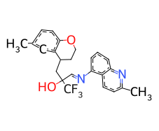 Cc1ccc2c(c1)C(CC(O)(/C=N/c1cccc3nc(C)ccc13)C(F)(F)F)CCO2